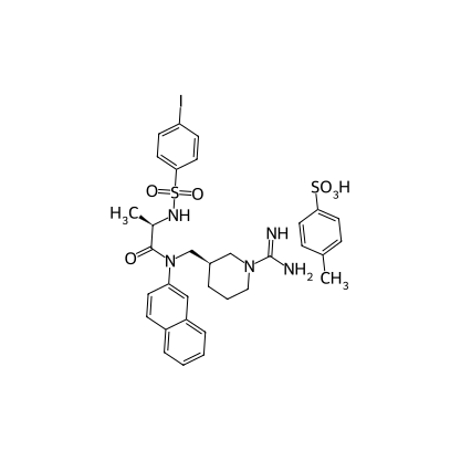 C[C@@H](NS(=O)(=O)c1ccc(I)cc1)C(=O)N(C[C@@H]1CCCN(C(=N)N)C1)c1ccc2ccccc2c1.Cc1ccc(S(=O)(=O)O)cc1